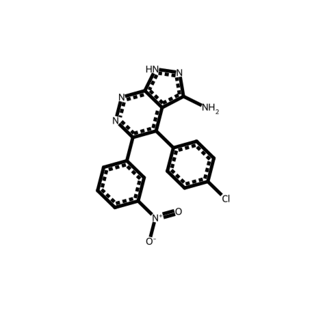 Nc1n[nH]c2nnc(-c3cccc([N+](=O)[O-])c3)c(-c3ccc(Cl)cc3)c12